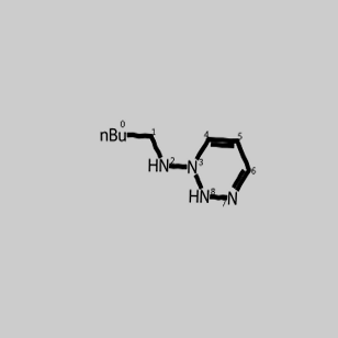 CCCCCNN1C=CC=NN1